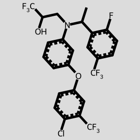 CC(c1cc(C(F)(F)F)ccc1F)N(CC(O)C(F)(F)F)c1cccc(Oc2ccc(Cl)c(C(F)(F)F)c2)c1